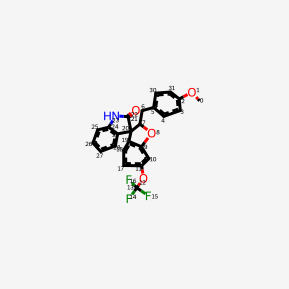 COc1ccc(CC2Oc3cc(OC(F)(F)F)ccc3C23C(=O)Nc2ccccc23)cc1